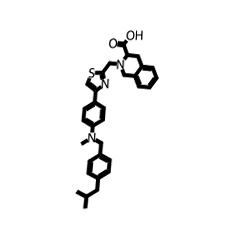 CC(C)Cc1ccc(CN(C)c2ccc(-c3csc(CN4Cc5ccccc5CC4C(=O)O)n3)cc2)cc1